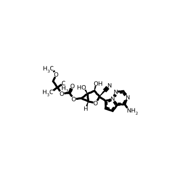 COCC(C)(C)OC(=O)OC1[C@H]2O[C@@](C#N)(c3ccc4c(N)ncnn34)[C@H](O)[C@@]12O